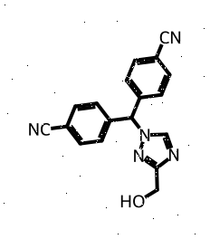 N#Cc1ccc(C(c2ccc(C#N)cc2)n2cnc(CO)n2)cc1